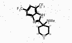 CNC1(c2nc3cc(C(F)(F)F)cc(C(F)(F)F)c3[nH]2)CCOCC1